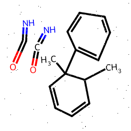 CC1C=CC=CC1(C)c1ccccc1.N=C=O.N=C=O